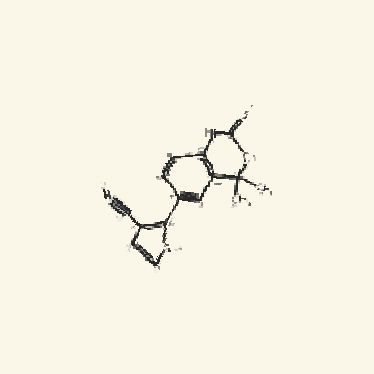 CC1(C)OC(=S)Nc2ccc(-c3sccc3C#N)cc21